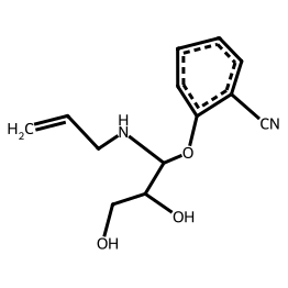 C=CCNC(Oc1ccccc1C#N)C(O)CO